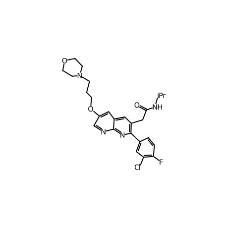 CC(C)NC(=O)Cc1cc2cc(OCCCN3CCOCC3)cnc2nc1-c1ccc(F)c(Cl)c1